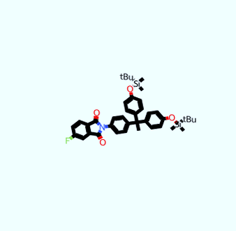 CC(c1ccc(O[Si](C)(C)C(C)(C)C)cc1)(c1ccc(O[Si](C)(C)C(C)(C)C)cc1)c1ccc(N2C(=O)c3ccc(F)cc3C2=O)cc1